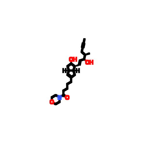 CC#CC[C@@H](C)[C@H](O)/C=C/[C@@H]1[C@H]2CC(CCCCC(=O)N3CCOCC3)=C[C@H]2C[C@H]1O